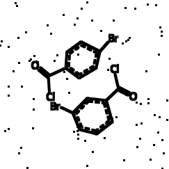 O=C(Cl)c1ccc(Br)cc1.O=C(Cl)c1cccc(Br)c1